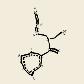 C=C(c1ccccc1)[C@@H](N=C=O)C(C)C